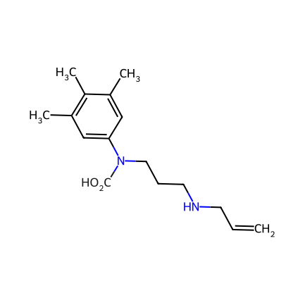 C=CCNCCCN(C(=O)O)c1cc(C)c(C)c(C)c1